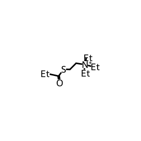 CCC(=O)SCC[N+](CC)(CC)CC